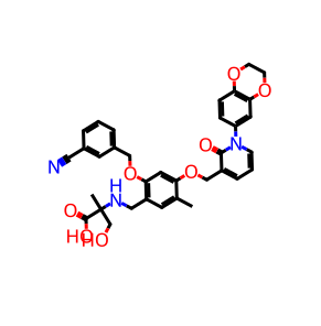 Cc1cc(CNC(C)(CO)C(=O)O)c(OCc2cccc(C#N)c2)cc1OCc1cccn(-c2ccc3c(c2)OCCO3)c1=O